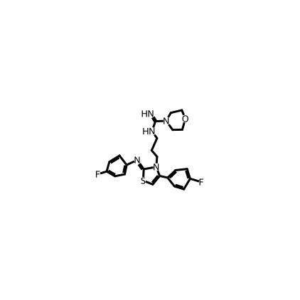 N=C(NCCCn1c(-c2ccc(F)cc2)cs/c1=N\c1ccc(F)cc1)N1CCOCC1